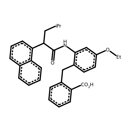 CCOc1ccc(Cc2ccccc2C(=O)O)c(NC(=O)C(CC(C)C)c2cccc3ccccc23)c1